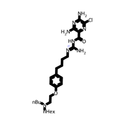 CCCCCCN(CCCC)CCOc1ccc(CCCC/N=C(\N)NC(=O)c2nc(Cl)c(N)nc2N)cc1